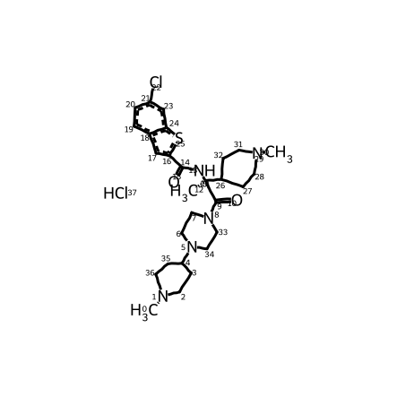 CN1CCC(N2CCN(C(=O)[C@@](C)(NC(=O)c3cc4ccc(Cl)cc4s3)C3CCN(C)CC3)CC2)CC1.Cl